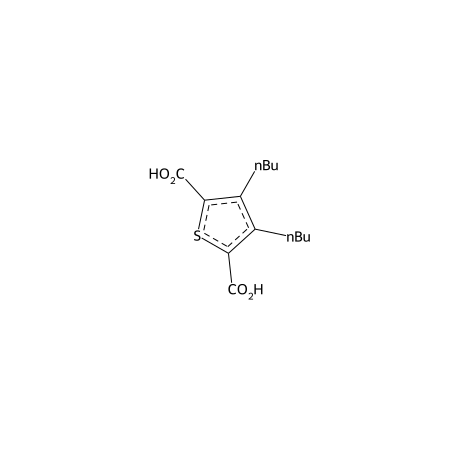 CCCCc1c(C(=O)O)sc(C(=O)O)c1CCCC